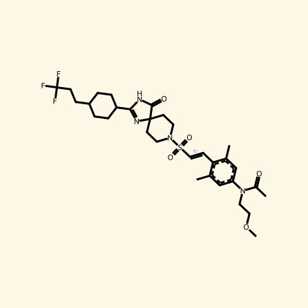 COCCN(C(C)=O)c1cc(C)c(/C=C/S(=O)(=O)N2CCC3(CC2)N=C(C2CCC(CCC(F)(F)F)CC2)NC3=O)c(C)c1